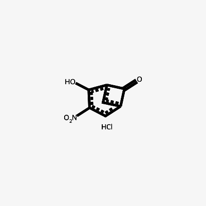 Cl.O=C1c2cc1c(O)c([N+](=O)[O-])c2